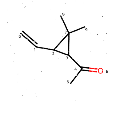 C=CC1C(C(C)=O)C1(C)C